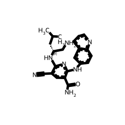 CC(C)C[C@H](CN)Nc1nc(Nc2ccc3ncccc3c2)c(C(N)=O)cc1C#N